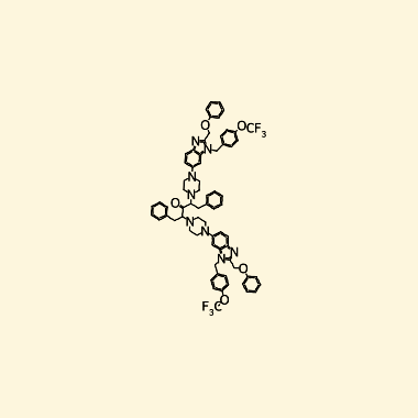 O=C(C(Cc1ccccc1)N1CCN(c2ccc3nc(COc4ccccc4)n(Cc4ccc(OC(F)(F)F)cc4)c3c2)CC1)C(Cc1ccccc1)N1CCN(c2ccc3nc(COc4ccccc4)n(Cc4ccc(OC(F)(F)F)cc4)c3c2)CC1